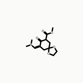 COC(=O)C1CC2(C/C(=C/N(C)C)C1=O)OCCO2